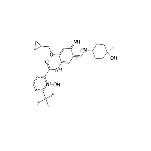 CC(F)(F)c1cccc(C(=O)NC2=C/C(=C/N[C@H]3CC[C@](C)(O)CC3)C(=N)C=C2OCC2CC2)[n+]1O